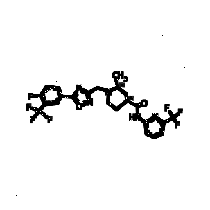 C[C@H]1C[C@@H](C(=O)Nc2cccc(C(F)(F)F)n2)CCN1Cc1noc(-c2ccc(F)c(C(F)(F)F)c2)n1